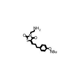 CCCCOc1ccc(CCC=C2SC(=O)N(CCN)C2=O)cc1